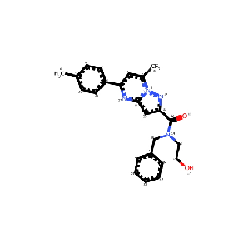 Cc1ccc(-c2cc(C(F)(F)F)n3nc(C(=O)N(CCO)Cc4ccccc4)cc3n2)cc1